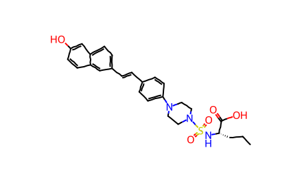 CCC[C@H](NS(=O)(=O)N1CCN(c2ccc(/C=C/c3ccc4cc(O)ccc4c3)cc2)CC1)C(=O)O